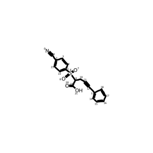 N#Cc1ccc(S(=O)(=O)C(CC#Cc2ccccc2)C(=O)O)cc1